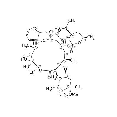 CC[C@H]1OC(=O)[C@H](C)[C@@H](O[C@H]2C[C@@](C)(OC)[C@]3(CO3)[C@H](C)O2)[C@H](C)[C@@H](O[C@@H]2O[C@H](C)C[C@H](N(C)C)[C@H]2OC(=O)OCc2ccccc2)[C@](C)(O)C[C@@H](C)CN[C@H](C)[C@@H](O)[C@]1(C)O